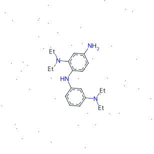 CCN(CC)c1cccc(Nc2ccc(N)cc2N(CC)CC)c1